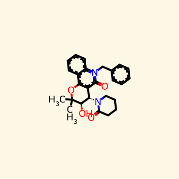 CC1(C)Oc2c(c(=O)n(Cc3ccccc3)c3ccccc23)[C@H](N2CCCCC2=O)[C@H]1O